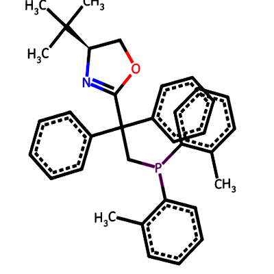 Cc1ccccc1P(CC(C1=N[C@@H](C(C)(C)C)CO1)(c1ccccc1)c1ccccc1)c1ccccc1C